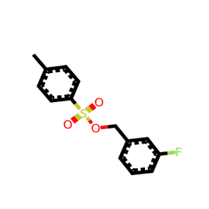 Cc1ccc(S(=O)(=O)OCc2cccc(F)c2)cc1